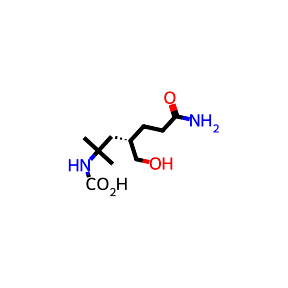 CC(C)(C[C@@H](CO)CCC(N)=O)NC(=O)O